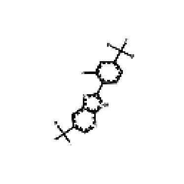 Fc1cc(C(F)(F)F)ccc1-c1nc2cc(C(F)(F)F)cnc2[nH]1